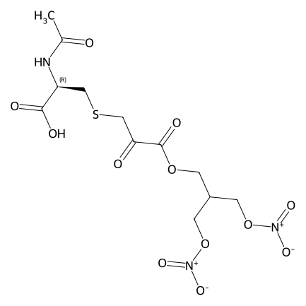 CC(=O)N[C@@H](CSCC(=O)C(=O)OCC(CO[N+](=O)[O-])CO[N+](=O)[O-])C(=O)O